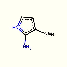 CNc1cc[nH]c1N